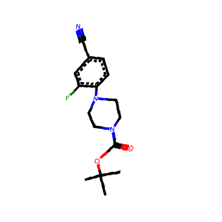 CC(C)(C)OC(=O)N1CCN(c2ccc(C#N)cc2F)CC1